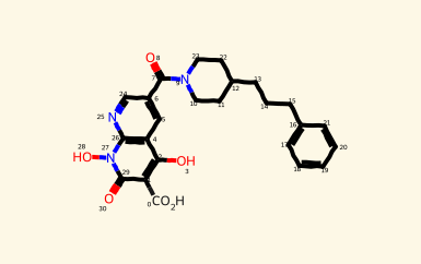 O=C(O)c1c(O)c2cc(C(=O)N3CCC(CCCc4ccccc4)CC3)cnc2n(O)c1=O